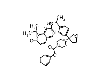 CC(C)n1c(=O)ccc2cnc(N[C@@H](C)c3ccc(C4(N5CCN(C(=O)Oc6ccccc6)CC5)CCOC4)cc3)nc21